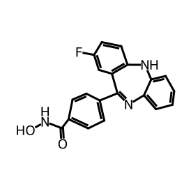 O=C(NO)c1ccc(C2=Nc3ccccc3Nc3ccc(F)cc32)cc1